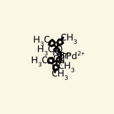 Cc1ccc(C2(c3ccc(C)cc3)OC(CC3=N[C@H](C)C(c4ccc(C)cc4)(c4ccc(C)cc4)O3)=N[C@@H]2C)cc1.[Br-].[Br-].[Pd+2]